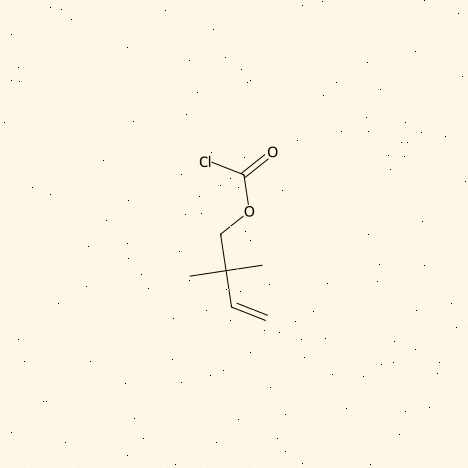 C=CC(C)(C)COC(=O)Cl